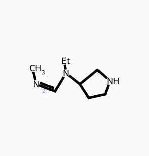 CCN(/C=N\C)C1CCNC1